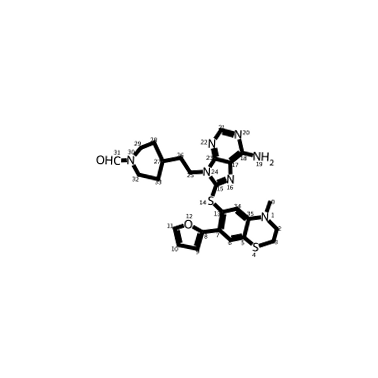 CN1CCSc2cc(-c3ccco3)c(Sc3nc4c(N)ncnc4n3CCC3CCN(C=O)CC3)cc21